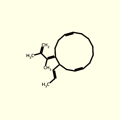 C=C(C)C(C)=C1CC/C=C\CCCCC/C=C\CC1C=CC